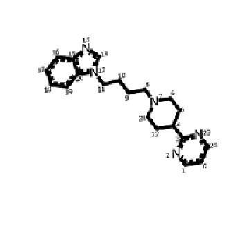 c1cnc(C2CCN(CCCCn3cnc4ccccc43)CC2)nc1